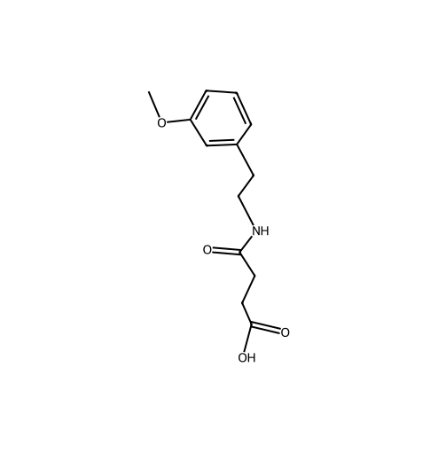 COc1cccc(CCNC(=O)CCC(=O)O)c1